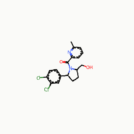 Cc1cccc(C(=O)N2C(CO)CCC2c2ccc(Cl)c(Cl)c2)n1